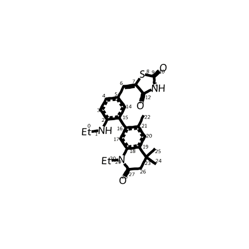 CCNc1ccc(C=C2SC(=O)NC2=O)cc1-c1cc2c(cc1C)C(C)(C)CC(=O)N2CC